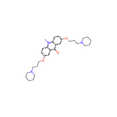 Cn1c2ccc(OCCCN3CCCCC3)cc2c(=O)c2cc(OCCCN3CCCCC3)ccc21